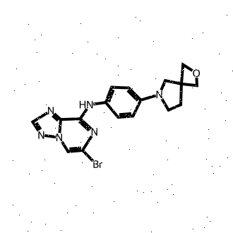 Brc1cn2ncnc2c(Nc2ccc(N3CCC4(COC4)C3)cc2)n1